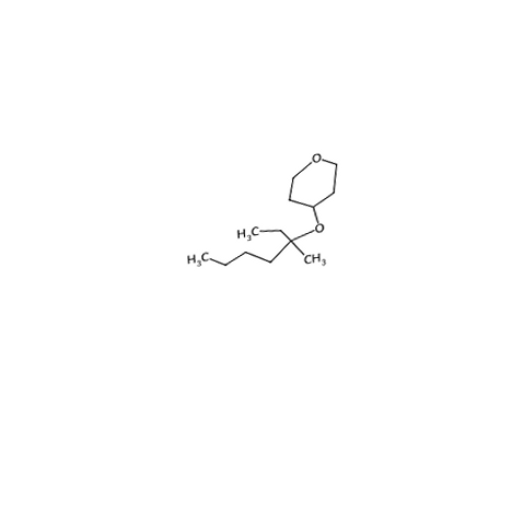 CCCCC(C)(CC)OC1CCOCC1